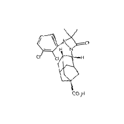 CC1(C)C(=O)N([C@@H]2C3CC4C[C@H]2C[C@@](C(=O)O)(C4)C3)N1c1cccc(Cl)c1Cl